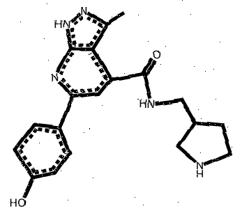 Cc1n[nH]c2nc(-c3ccc(O)cc3)cc(C(=O)NCC3CCNC3)c12